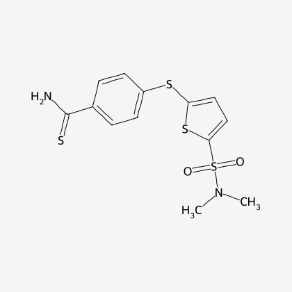 CN(C)S(=O)(=O)c1ccc(Sc2ccc(C(N)=S)cc2)s1